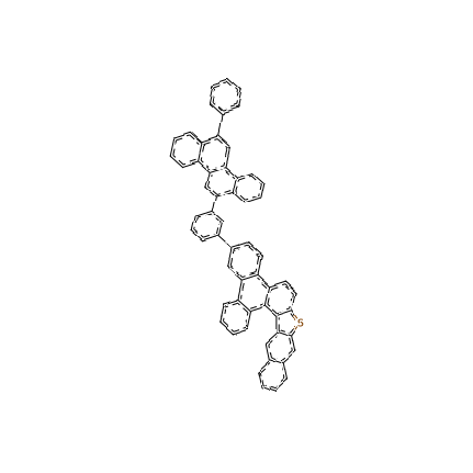 c1ccc(-c2cc3c4ccccc4c(-c4cccc(-c5ccc6c(c5)c5ccccc5c5c6ccc6sc7cc8ccccc8cc7c65)c4)cc3c3ccccc23)cc1